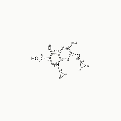 O=C(O)c1cn(C2CC2)c2cc(OC3CC3)c(F)cc2c1=O